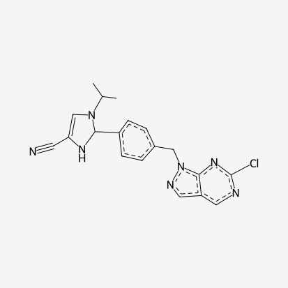 CC(C)N1C=C(C#N)NC1c1ccc(Cn2ncc3cnc(Cl)nc32)cc1